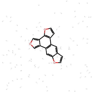 c1cc2cc3c(cc2o1)c1cocc1c1occc31